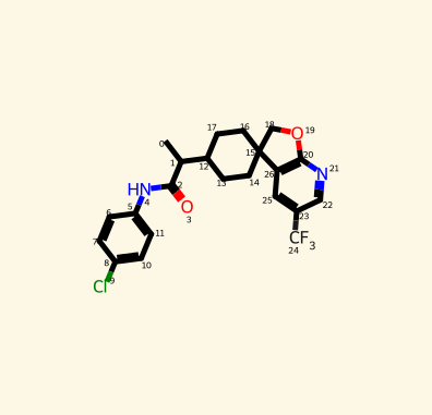 CC(C(=O)Nc1ccc(Cl)cc1)C1CCC2(CC1)COc1ncc(C(F)(F)F)cc12